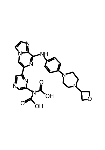 O=C(O)N(C(=O)O)c1cncc(-c2cn3ccnc3c(Nc3ccc(N4CCN(C5COC5)CC4)cc3)n2)n1